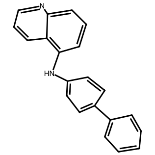 c1ccc(-c2ccc(Nc3cccc4ncccc34)cc2)cc1